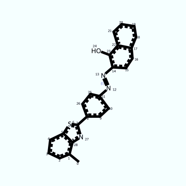 Cc1cccc2sc(-c3ccc(/N=N/c4ccc5ccccc5c4O)cc3)nc12